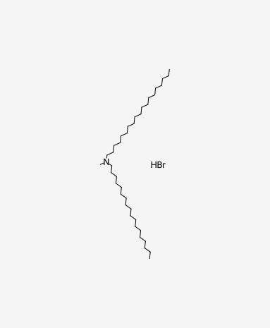 Br.CCCCCCCCCCCCCCCCCCCN(C)CCCCCCCCCCCCCCCCCC